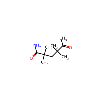 CC(=O)C(C)(C)CC(C)(C)C(N)=O